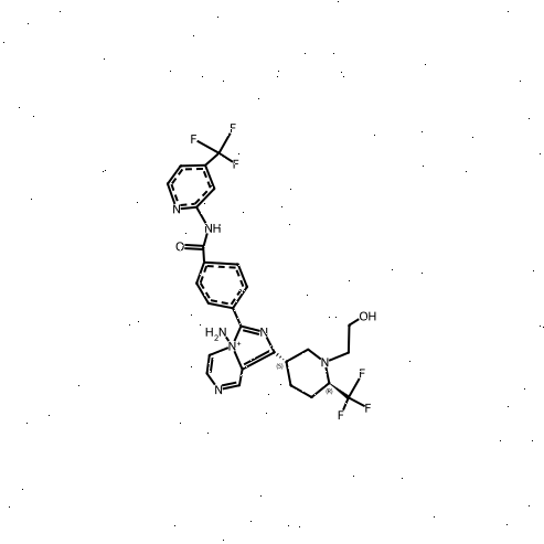 N[N+]12C=CN=CC1=C([C@H]1CC[C@H](C(F)(F)F)N(CCO)C1)N=C2c1ccc(C(=O)Nc2cc(C(F)(F)F)ccn2)cc1